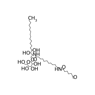 CCCCCCCCCCCCCC[C@@H](O)[C@@H](O)[C@H](CO[C@H]1OC(CO)[C@H](O)[C@H](O)C1O)NC(=O)CCCCCCCCCCCNC(=O)CCCCC1CO1